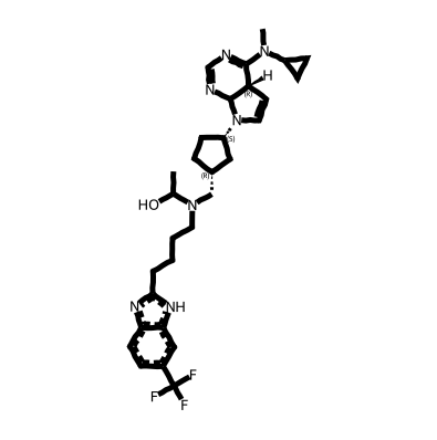 CC(O)N(CCCCc1nc2ccc(C(F)(F)F)cc2[nH]1)C[C@@H]1CC[C@H](N2C=C[C@H]3C(N(C)C4CC4)=NC=NC32)C1